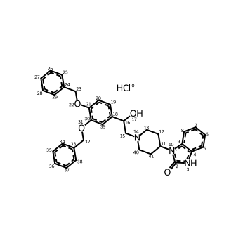 Cl.O=c1[nH]c2ccccc2n1C1CCN(CC(O)c2ccc(OCc3ccccc3)c(OCc3ccccc3)c2)CC1